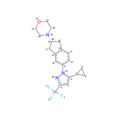 FC(F)(F)c1cc(C2CC2)n(-c2ccc3c(c2)C[C@H](N2CCOCC2)C3)n1